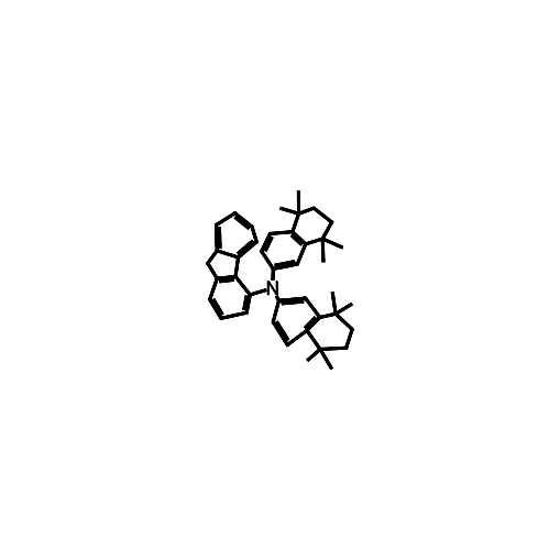 CC1(C)CCC(C)(C)c2cc(N(c3ccc4c(c3)C(C)(C)CCC4(C)C)c3cccc4c3-c3ccccc3C4)ccc21